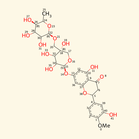 COc1ccc(C2CC(=O)c3c(O)cc(O[C@@H]4OC[C@](O)(CO[C@@H]5OC(C)[C@H](O)C(O)C5O)C(O)C4O)cc3O2)cc1O